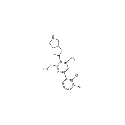 Nc1cc(-c2cccc(Cl)c2Cl)nc(CO)c1N1CC2CNCC2C1